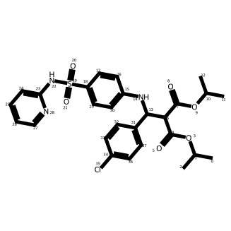 CC(C)OC(=O)C(C(=O)OC(C)C)C(Nc1ccc(S(=O)(=O)Nc2ccccn2)cc1)c1ccc(Cl)cc1